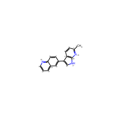 Cc1ccc2c(-c3ccc4ncccc4c3)c[nH]c2n1